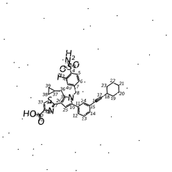 NS(=O)(=O)c1ccc(Cn2c(-c3cccc(C#CC4CCCCC4)c3)cc(-c3nc(C(=O)O)cs3)c2CC2CC2)cc1F